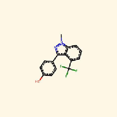 Cn1nc(-c2ccc(O)cc2)c2c(C(F)(F)F)cccc21